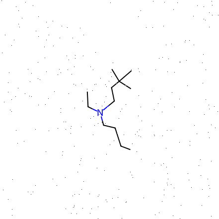 CCCCN(CC)CCC(C)(C)C